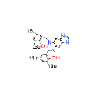 CC(C)(C)c1cc(/C=N/c2cc3nccnc3cc2/N=C/c2cc(C(C)(C)C)cc(C(C)(C)C)c2O)c(O)c(C(C)(C)C)c1